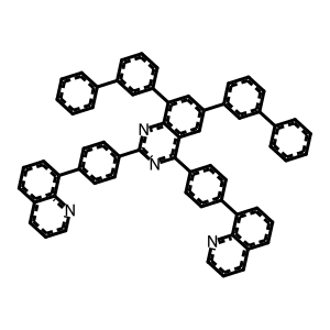 c1ccc(-c2cccc(-c3cc(-c4cccc(-c5ccccc5)c4)c4nc(-c5ccc(-c6cccc7cccnc67)cc5)nc(-c5ccc(-c6cccc7cccnc67)cc5)c4c3)c2)cc1